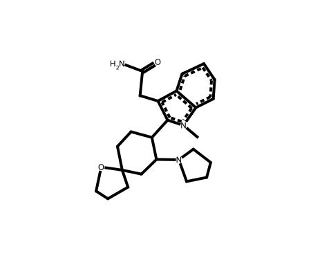 Cn1c(C2CCC3(CCCO3)CC2N2CCCC2)c(CC(N)=O)c2ccccc21